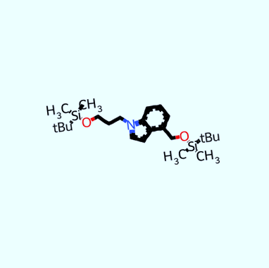 CC(C)(C)[Si](C)(C)OCCCn1ccc2c(CO[Si](C)(C)C(C)(C)C)cccc21